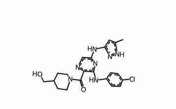 Cc1cc(Nc2cnc(C(=O)N3CCC(CO)CC3)c(Nc3ccc(Cl)cc3)n2)n[nH]1